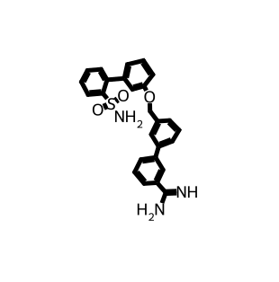 N=C(N)c1cccc(-c2cccc(COc3cccc(-c4ccccc4S(N)(=O)=O)c3)c2)c1